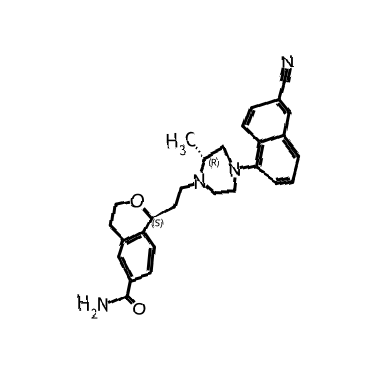 C[C@@H]1CN(c2cccc3cc(C#N)ccc23)CCN1CC[C@@H]1OCCc2cc(C(N)=O)ccc21